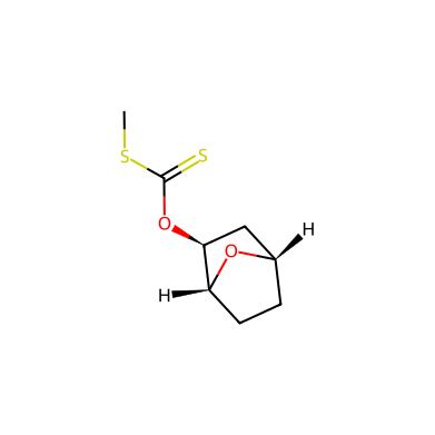 CSC(=S)O[C@H]1C[C@@H]2CC[C@H]1O2